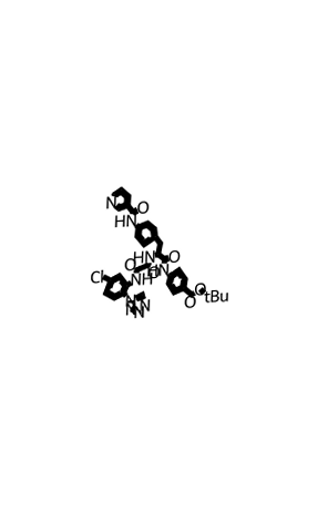 CC(C)(C)OC(=O)c1ccc(NC(=O)C(Cc2ccc(NC(=O)c3cccnc3)cc2)NC(=O)C(=O)Nc2cc(Cl)ccc2-n2cnnn2)cc1